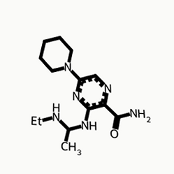 CCNC(C)Nc1nc(N2CCCCC2)cnc1C(N)=O